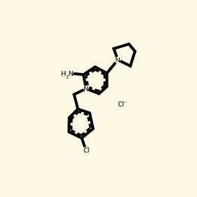 Nc1cc(N2CCCC2)cc[n+]1Cc1ccc(Cl)cc1.[Cl-]